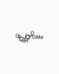 COC(=O)c1ccc(C2CC3(CCN2)COC3)cc1